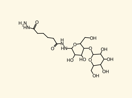 NNC(=O)CCCCC(=O)NNC1OC(CO)C(OC2OC(CO)C(O)C(O)C2O)C(O)C1O